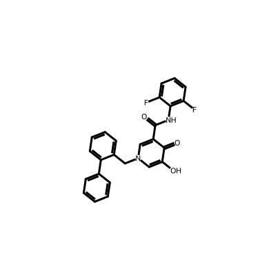 O=C(Nc1c(F)cccc1F)c1cn(Cc2ccccc2-c2ccccc2)cc(O)c1=O